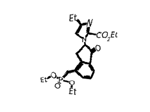 CCOC(=O)c1nc(CC)cn1C1Cc2c(CP(=O)(OCC)OCC)cccc2C1=O